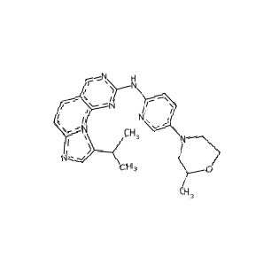 CC1CN(c2ccc(Nc3ncc4ccc5ncc(C(C)C)n5c4n3)nc2)CCO1